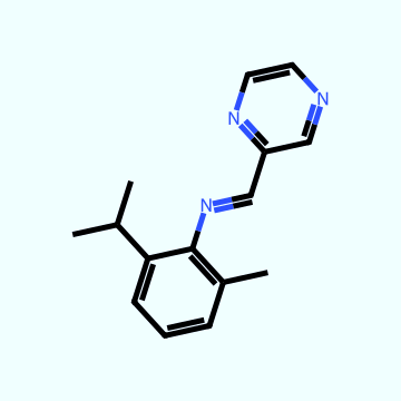 Cc1cccc(C(C)C)c1N=Cc1cnccn1